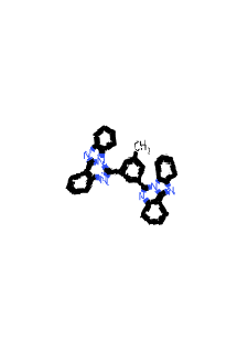 Cc1cc(-c2nc3ccccc3c3nc4ccccc4n23)cc(-c2nc3ccccc3c3nc4ccccc4n23)c1